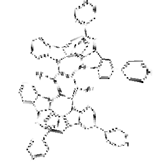 CC(C)(C)c1c(-n2c3ccc(-c4ccncc4)cc3c3cc(-c4ccncc4)ccc32)c(-n2c3ccccc3c3ccccc32)c(C(F)(F)F)c(-n2c3ccccc3c3ccccc32)c1-n1c2ccc(-c3ccncc3)cc2c2cc(-c3ccncc3)ccc21